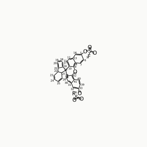 O=S(=O)(F)Oc1ccc2c3c(ccc2c1)C1(c2ccccc2C2C=CC=CC21)c1ccc2cc(OS(=O)(=O)F)ccc2c1O3